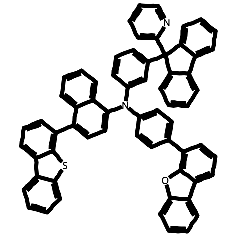 c1ccc(C2(c3cccc(N(c4ccc(-c5cccc6c5oc5ccccc56)cc4)c4ccc(-c5cccc6c5sc5ccccc56)c5ccccc45)c3)c3ccccc3-c3ccccc32)nc1